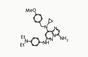 CCN(CC)c1ccc(Nc2cc(N(Cc3ccc(OC)cc3)C3CC3)c3ncc(N)n3n2)cc1